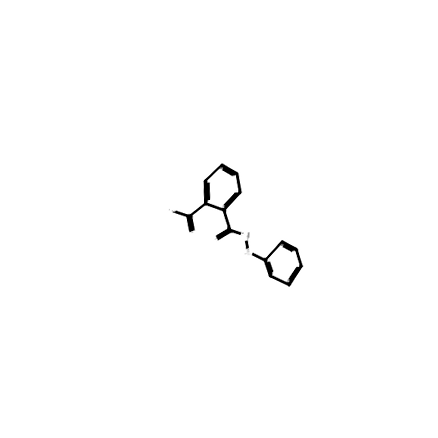 NC(=O)c1ccccc1C(=O)N[Se]c1ccccc1